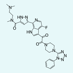 CN(C)CCN(C)C(=O)c1cc(-c2ncc(F)c3c(C(=O)C(=O)N4CCN(c5nnnn5-c5ccccc5)CC4)c[nH]c23)n[nH]1